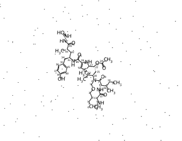 CCCCOCN(C(=O)[C@@H](NC(=O)CNC)C(C)CC)[C@H](C[C@@H](OC(C)=O)C1NC(C(=O)N[C@@H](Cc2ccc(O)cc2)C[C@H](C)C(=O)NNO)=CS1)C(C)C